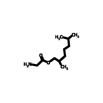 CC(C)CCCC(C)COC(=O)CN